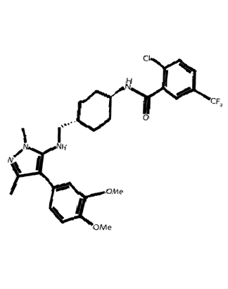 COc1ccc(-c2c(C)nn(C)c2NC[C@H]2CC[C@H](NC(=O)c3cc(C(F)(F)F)ccc3Cl)CC2)cc1OC